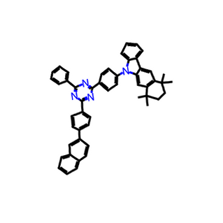 CC1(C)CCC(C)(C)c2cc3c(cc21)c1ccccc1n3-c1ccc(-c2nc(-c3ccccc3)nc(-c3ccc(-c4ccc5ccccc5c4)cc3)n2)cc1